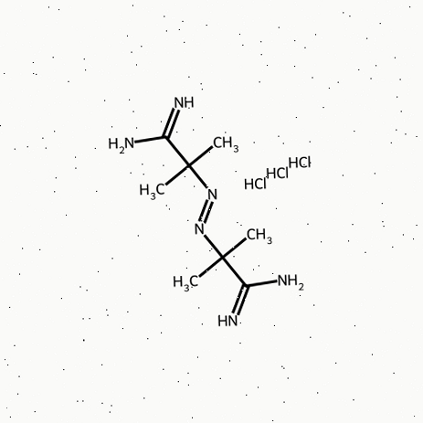 CC(C)(N=NC(C)(C)C(=N)N)C(=N)N.Cl.Cl.Cl